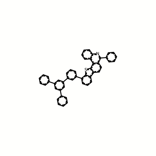 c1ccc(-c2cc(-c3ccccc3)cc(-c3cccc(-c4cccc5c4sc4c5ccc5c(-c6ccccc6)nc6ccccc6c54)c3)c2)cc1